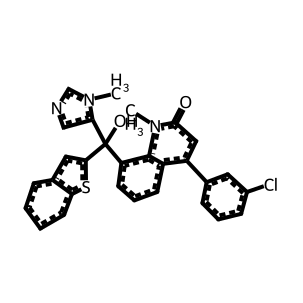 Cn1cncc1C(O)(c1cc2ccccc2s1)c1cccc2c(-c3cccc(Cl)c3)cc(=O)n(C)c12